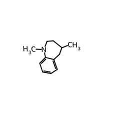 CC1CCN(C)c2ccccc2C1